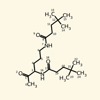 CC(=O)C(CCCNC(=O)CCC(C)(C)C)NC(=O)CCC(C)(C)C